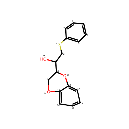 OC(CSc1ccccc1)C1COc2ccccc2O1